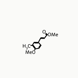 COC(=O)/C=C/c1ccc(OC)c(C)c1